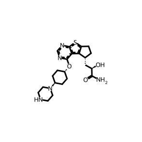 NC(=O)[C@H](O)C[C@H]1CCc2sc3ncnc(O[C@H]4CC[C@H](N5CCNCC5)CC4)c3c21